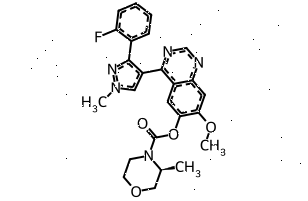 COc1cc2ncnc(-c3cn(C)nc3-c3ccccc3F)c2cc1OC(=O)N1CCOC[C@@H]1C